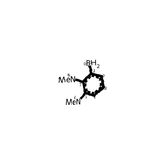 Bc1cccc(NC)c1NC